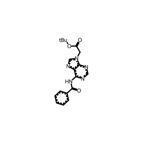 CC(C)(C)OC(=O)Cn1cnc2c(NC(=O)c3ccccc3)ncnc21